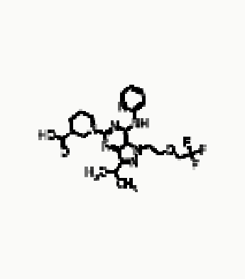 CC(C)c1nn(CCOCC(F)(F)F)c2c(Nc3ccccn3)nc(N3CCC[C@H](C(=O)O)C3)nc12